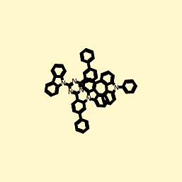 C1=CC(c2nc(-c3cccc(-c4ccccc4)c3)nc(-n3c4ccccc4c4ccccc43)n2)C(n2c3ccccc3c3c(-c4cccc5c4c4ccccc4n5-c4ccccc4)cccc32)C=C1c1ccccc1